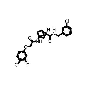 O=C(COc1ccc(Cl)c(F)c1)NC12CC(C1)[C@@H](C(=O)NCc1cccc(Cl)c1)C2